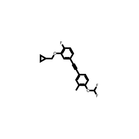 Cc1cc(C#Cc2ccc(F)c(OCC3CC3)c2)ccc1OC(F)F